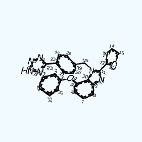 c1ccc(Oc2cccc3nc(-c4ncco4)n(Cc4ccc(-c5nn[nH]n5)cc4)c23)cc1